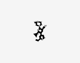 C=Cc1cc(-c2cc(C#N)c(N3CCNC(C)C3)nc2C2CC2)ccn1